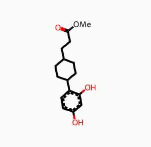 COC(=O)CCC1CCC(c2ccc(O)cc2O)CC1